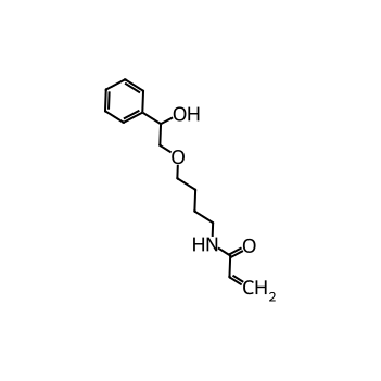 C=CC(=O)NCCCCOCC(O)c1ccccc1